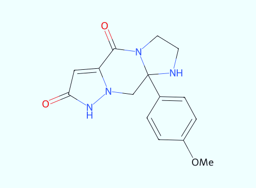 COc1ccc(C23Cn4[nH]c(=O)cc4C(=O)N2CCN3)cc1